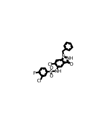 O=c1[nH]n(Cc2ccccc2)c2cc(Cl)c(NS(=O)(=O)c3ccc(F)c(Cl)c3)cc12